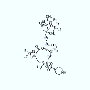 CCC(O[Si](CC)(CC)CC)C(C)[C@H]1O[C@@H]1CC(C)(/C=C/C=C(\C)[C@H]1OC(=O)C[C@H](O[Si](CC)(CC)CC)CC[C@@](C)(OC(C)=O)[C@@H](OC(=O)N2CCNCC2)/C=C/[C@@H]1C)O[Si](CC)(CC)CC